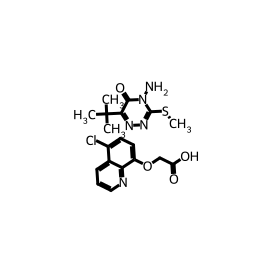 CSc1nnc(C(C)(C)C)c(=O)n1N.O=C(O)COc1ccc(Cl)c2cccnc12